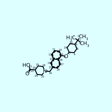 CC(C)(C)C1CCC(Oc2cccc3cc(CN4CCC(C(=O)O)CC4)ccc23)CC1